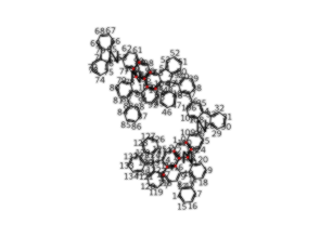 c1ccc(-c2ccccc2-c2c(-c3ccccc3)cccc2N(c2ccc(-n3c4ccccc4c4cc(-c5cccc(C6(c7ccccc7)c7ccccc7-c7cc(N(c8cccc(-n9c%10ccccc%10c%10ccccc%109)c8)c8cccc(-c9ccccc9)c8-c8ccccc8-c8ccccc8)ccc76)c5)ccc43)cc2)c2ccc3c(c2)-c2ccccc2C3(c2ccccc2)c2ccccc2)cc1